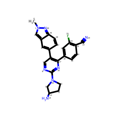 Cn1cc2cc(-c3cnc(N4CCC(N)C4)nc3-c3ccc(C#N)c(F)c3)ccc2n1